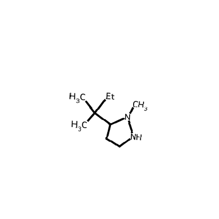 CCC(C)(C)C1CCNN1C